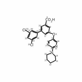 O=C(O)c1cc(Oc2cnc(N3CCCCC3)nc2)cc(-c2cc(Cl)cc(Cl)c2)c1